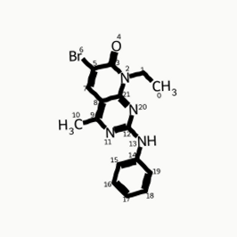 CCn1c(=O)c(Br)cc2c(C)nc(Nc3ccccc3)nc21